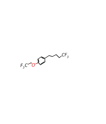 FC(F)(F)CCCCc1ccc(OCC(F)(F)F)cc1